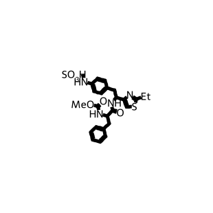 CCc1nc(C(Cc2ccc(NS(=O)(=O)O)cc2)NC(=O)C(Cc2ccccc2)NC(=O)OC)cs1